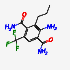 CCCc1c(N)c(C(N)=O)cc(C(F)(F)F)c1C(N)=O